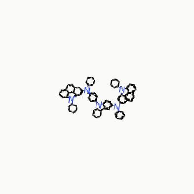 c1ccc(N(c2ccc(-n3c4ccccc4c4cc(N(c5ccccc5)c5cc6ccc7cccc8c7c6c(c5)n8-c5ccccc5)ccc43)cc2)c2cc3ccc4cccc5c4c3c(c2)n5-c2ccccc2)cc1